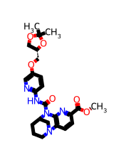 COC(=O)c1ccc2c(n1)N(C(=O)Nc1ccc(OC[C@@H]3COC(C)(C)O3)cn1)C1CCCN2C1